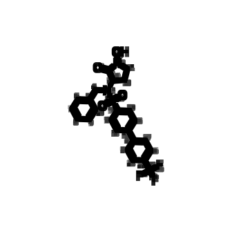 O=C1[C@H](N(Cc2ccccc2)S(=O)(=O)c2ccc(-c3ccc(C(F)(F)F)cc3)cc2)CCN1O